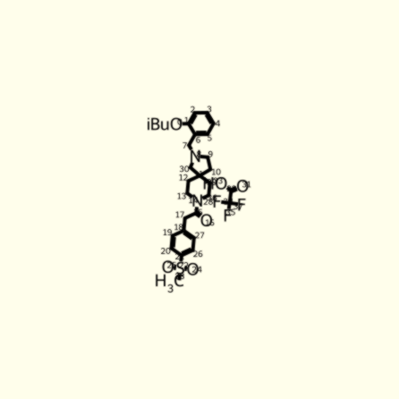 CC(C)COc1ccccc1CN1CCC2(CCN(C(=O)Cc3ccc(S(C)(=O)=O)cc3)CC2)C1.O=C(O)C(F)(F)F